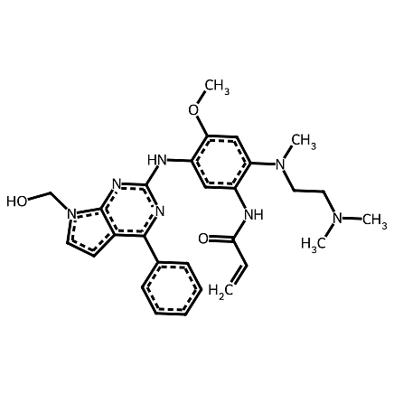 C=CC(=O)Nc1cc(Nc2nc(-c3ccccc3)c3ccn(CO)c3n2)c(OC)cc1N(C)CCN(C)C